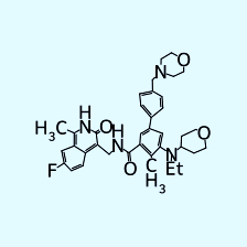 CCN(c1cc(-c2ccc(CN3CCOCC3)cc2)cc(C(=O)NCc2c(=O)[nH]c(C)c3cc(F)ccc23)c1C)C1CCOCC1